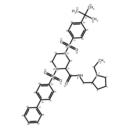 CCN1CCCC1CNC(=O)C1CN(S(=O)(=O)c2ccc(C(C)(C)C)cc2)CCN1S(=O)(=O)c1ccc(-c2ccccc2)cc1